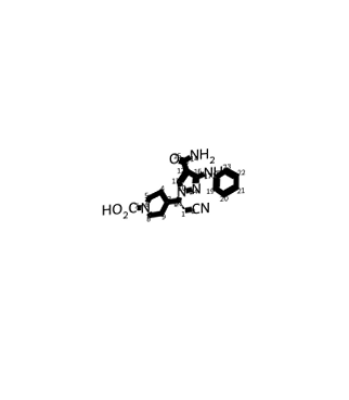 N#CC[C@H](C1CCN(C(=O)O)CC1)n1cc(C(N)=O)c(Nc2ccccc2)n1